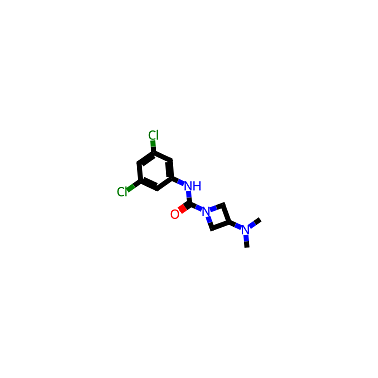 CN(C)C1CN(C(=O)Nc2cc(Cl)cc(Cl)c2)C1